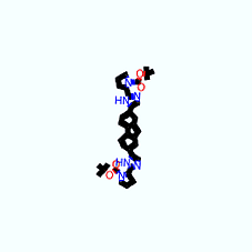 CC(C)(C)OC(=O)N1CCCC1c1ncc(C2=CC=C3C(=Cc4cc(-c5cnc(C6CCCN6C(=O)OC(C)(C)C)[nH]5)ccc43)C2)[nH]1